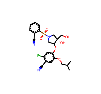 CC(C)COc1cc(C#N)c(F)cc1OC1CN(S(=O)(=O)c2ccccc2C#N)C[C@@]1(O)CO